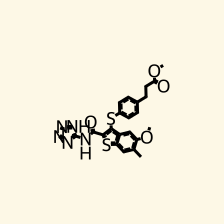 COC(=O)CCc1ccc(Sc2c(C(=O)Nc3nnn[nH]3)sc3cc(C)c(OC)cc23)cc1